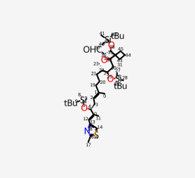 C/C(=C\C[C@H](O[Si](C)(C)C(C)(C)C)/C(C)=C/c1csc(C)n1)CCC[C@H](C)[C@H](O[Si](C)(C)C(C)(C)C)[C@@H](C)C(=O)C1([C@H](CC=O)O[Si](C)(C)C(C)(C)C)CCC1